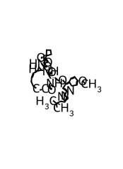 COc1ccc2c(OCC[C@@H]3NC(=O)CCCCC/C=C\[C@@H]4C[C@@]4(C(=O)NS(=O)(=O)C4CCC4)NC3=O)cc(-n3ccc(C(C)C)n3)nc2c1